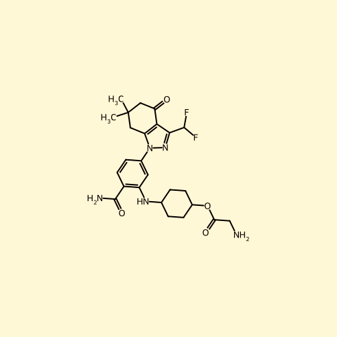 CC1(C)CC(=O)c2c(C(F)F)nn(-c3ccc(C(N)=O)c(NC4CCC(OC(=O)CN)CC4)c3)c2C1